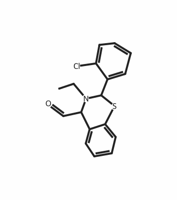 CCN1C(C=O)c2ccccc2SC1c1ccccc1Cl